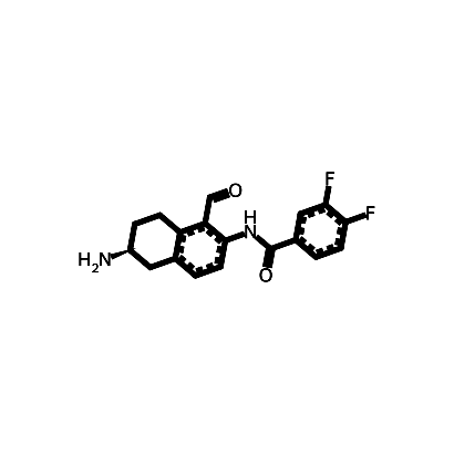 N[C@H]1CCc2c(ccc(NC(=O)c3ccc(F)c(F)c3)c2C=O)C1